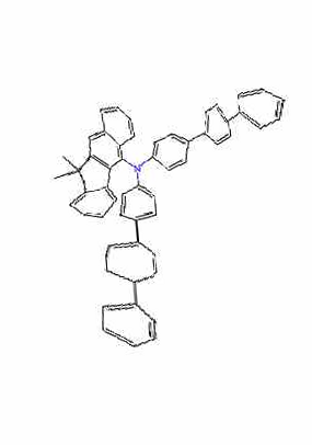 CC1(C)c2ccccc2-c2c1cc1ccccc1c2N(c1ccc(C2=CCC(c3ccccc3)C=C2)cc1)c1ccc(-c2ccc(-c3ccccc3)cc2)cc1